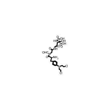 N[C@@H](Cc1ccc(N(CCCl)CCCl)cc1)C(=O)N(C=O)CC(=O)NCCCC(O)(P(=O)(O)O)P(=O)(O)O